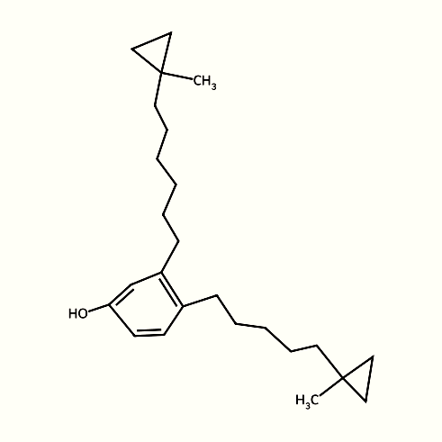 CC1(CCCCCCc2cc(O)ccc2CCCCCC2(C)CC2)CC1